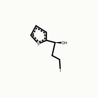 O[C@@H](CCI)c1cccs1